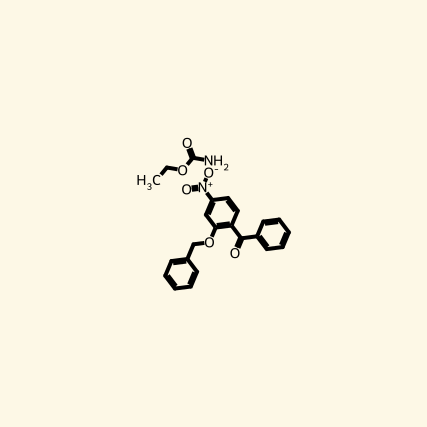 CCOC(N)=O.O=C(c1ccccc1)c1ccc([N+](=O)[O-])cc1OCc1ccccc1